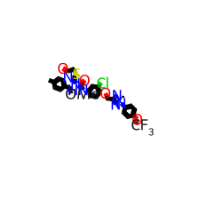 COCc1ccc(C)cc1N1C(=O)CS/C1=N\C(=O)Nc1ccc(OCc2ncn(-c3ccc(OC(F)(F)F)cc3)n2)c(Cl)c1